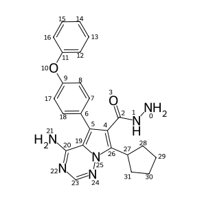 NNC(=O)c1c(-c2ccc(Oc3ccccc3)cc2)c2c(N)ncnn2c1C1CCCC1